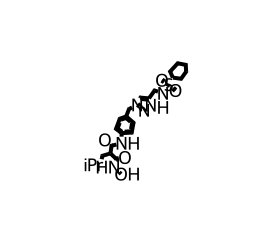 CC(C)CC(C(=O)NO)C(=O)Nc1ccc(Cn2cc(CNS(=O)(=O)C3CCCCC3)nn2)cc1